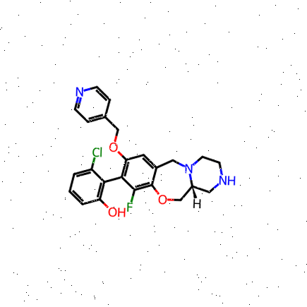 Oc1cccc(Cl)c1-c1c(OCc2ccncc2)cc2c(c1F)OC[C@H]1CNCCN1C2